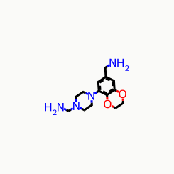 NCc1cc2c(c(N3CCN(CN)CC3)c1)OCCO2